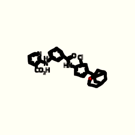 O=C(Nc1ccc(C23CC4CC(CC(C4)C2)C3)cc1Cl)c1cccc(Nc2ncccc2C(=O)O)c1